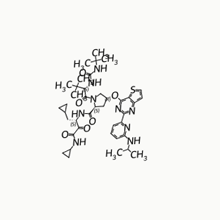 CC(C)Nc1cccc(-c2nc(O[C@@H]3C[C@@H](C(=O)N[C@@H](CC4CC4)C(=O)C(=O)NC4CC4)N(C(=O)[C@@H](NC(=O)NC(C)(C)C)C(C)(C)C)C3)c3sccc3n2)n1